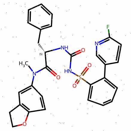 CN(C(=O)[C@H](Cc1ccccc1)NC(=O)NS(=O)(=O)c1ccccc1-c1ccc(F)nc1)c1ccc2c(c1)CCO2